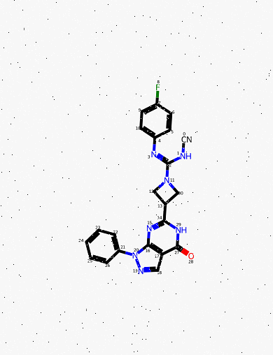 N#CNC(=Nc1ccc(F)cc1)N1CC(c2nc3c(cnn3-c3ccccc3)c(=O)[nH]2)C1